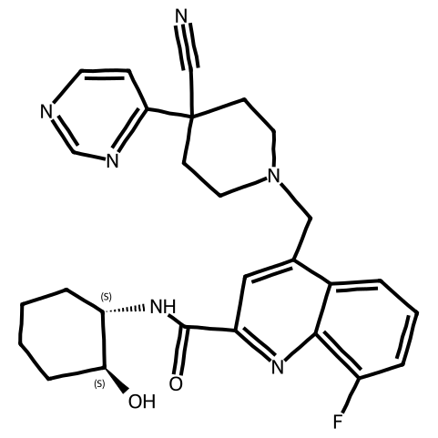 N#CC1(c2ccncn2)CCN(Cc2cc(C(=O)N[C@H]3CCCC[C@@H]3O)nc3c(F)cccc23)CC1